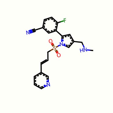 CNCc1cc(-c2cc(C#N)ccc2F)n(S(=O)(=O)CC=Cc2cccnc2)c1